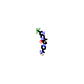 CC1C2Cc3ncc(C(F)(F)F)cc3CN2C(=O)[C@]12CCC(N1CCC(c3cscn3)CC1)C2